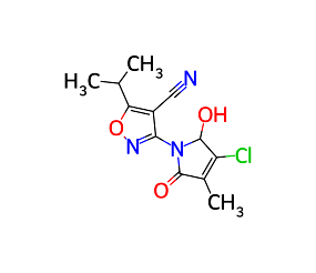 CC1=C(Cl)C(O)N(c2noc(C(C)C)c2C#N)C1=O